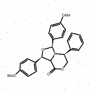 COc1ccc([C@H]2O[C@@H](c3ccc(OC)cc3)N3C2C(=O)OC[C@@H]3c2ccccc2)cc1